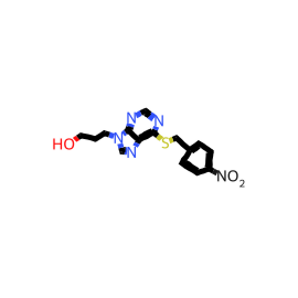 O=[N+]([O-])c1ccc(CSc2ncnc3c2ncn3CCCO)cc1